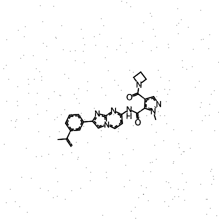 C=C(C)c1cccc(-c2cn3ccc(NC(=O)c4c(C(=O)N5CCC5)cnn4C)nc3n2)c1